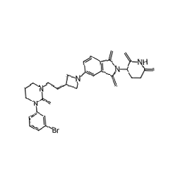 C=C1CCC(n2c(=C)c3ccc(N4CC(CCN5CCCN(c6cccc(Br)c6)C5=C)C4)cc3c2=C)C(=C)N1